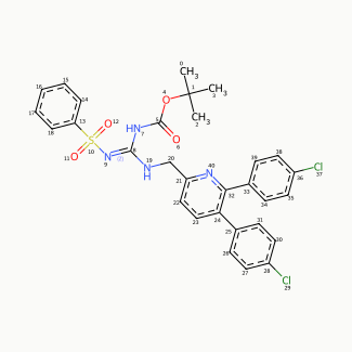 CC(C)(C)OC(=O)N/C(=N\S(=O)(=O)c1ccccc1)NCc1ccc(-c2ccc(Cl)cc2)c(-c2ccc(Cl)cc2)n1